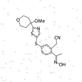 COC1(c2ncc(Sc3ccc(/C(C)=N/O)c(CC#N)c3)s2)CCOCC1